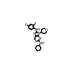 Fc1ccc(Nc2nc3cnc(NC4CCCCC4)nc3n2C2CCOCC2)c(F)c1